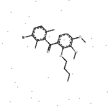 CCCCOc1c(C(=O)c2c(C)ccc(Br)c2C)ccc(OC)c1OC